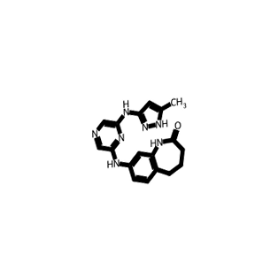 Cc1cc(Nc2cncc(Nc3ccc4c(c3)NC(=O)CCC4)n2)n[nH]1